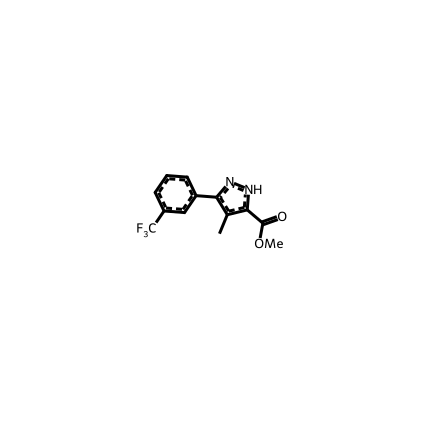 COC(=O)c1[nH]nc(-c2cccc(C(F)(F)F)c2)c1C